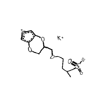 CC(CCOCC1COc2cscc2O1)S(=O)(=O)[O-].[K+]